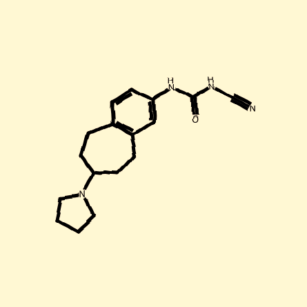 N#CNC(=O)Nc1ccc2c(c1)CCC(N1CCCC1)CC2